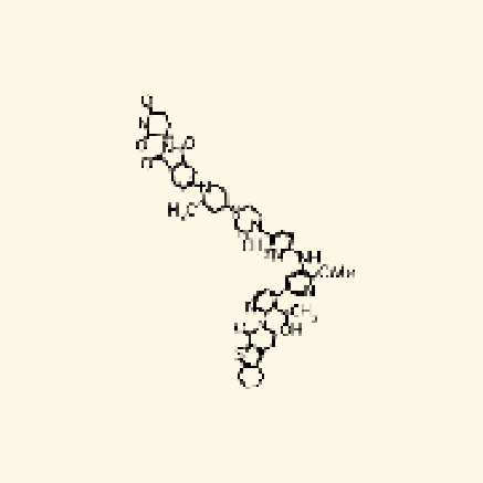 COc1ncc(-c2ccnc(N3CCc4c(sc5c4CCCC5)C3=O)c2[C@H](C)O)cc1Nc1ccc(N2CCN(C3CCN(c4ccc5c(c4)C(=O)N([C@H]4CCC(=O)NC4=O)C5=O)[C@@H](C)C3)C[C@@H]2C)cn1